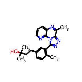 Cc1ccc(CCC(C)(C)O)cc1-c1nnc2c(C)nc3cccnc3n12